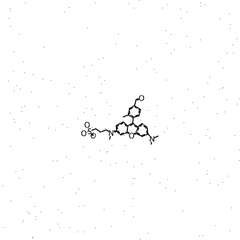 Cc1cc(C=O)ccc1-c1c2cc/c(=[N+](/C)CCCS(=O)(=O)[O-])cc-2oc2cc(N(C)C)ccc12